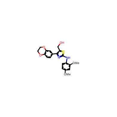 COc1ccc(Nc2nc(-c3ccc4c(c3)OCCO4)c(CO)s2)c(OC)c1